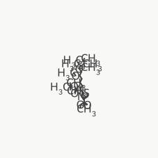 COC(=O)c1csc(N(CCCC(CO[Si](C)(C)C(C)(C)C)OC)C(=O)OC(C)(C)C)n1